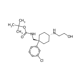 CC(C)(C)OC(=O)NC[C@]1(c2cccc(Cl)c2)CC[C@@H](NCCO)CC1